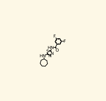 O=C(Nc1nnc(NC2CCCCCC2)s1)c1cc(F)cc(F)c1